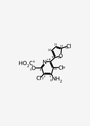 Nc1c(Cl)c(OC(=O)O)nc(-c2ccc(Cl)o2)c1Cl